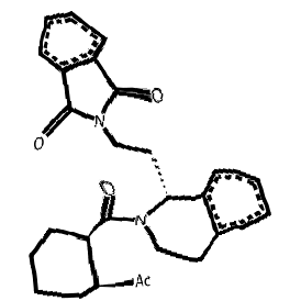 CC(=O)[C@H]1CCCC[C@H]1C(=O)N1CCc2ccccc2[C@H]1CCN1C(=O)c2ccccc2C1=O